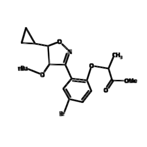 CCCCOC1C(c2cc(Br)ccc2OC(C)C(=O)OC)=NOC1C1CC1